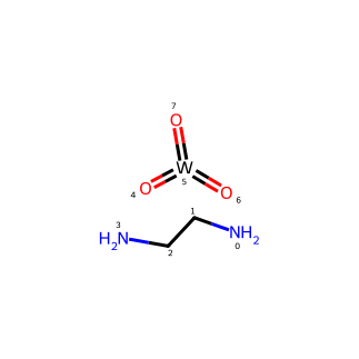 NCCN.[O]=[W](=[O])=[O]